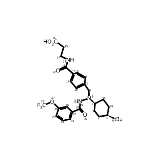 CC(C)(C)[C@H]1CC[C@@H](N(Cc2ccc(C(=O)NCCC(=O)O)cc2)NC(=O)c2cccc(OC(F)(F)F)c2)CC1